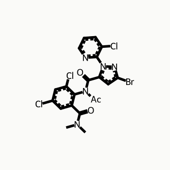 CC(=O)N(C(=O)c1cc(Br)nn1-c1ncccc1Cl)c1c(Cl)cc(Cl)cc1C(=O)N(C)C